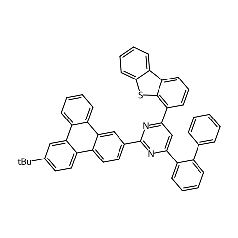 CC(C)(C)c1ccc2c3ccc(-c4nc(-c5ccccc5-c5ccccc5)cc(-c5cccc6c5sc5ccccc56)n4)cc3c3ccccc3c2c1